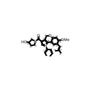 C/C=C\C(=C/C)n1cc(C(=O)N2CCC(O)C2)c2c1-c1cc(C=C(C)C)c(OC)cc1OC2